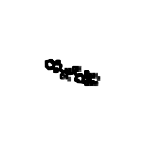 COc1ccc(C(O)CNC(C)C2COc3ccccc3O2)cc1S(N)(=O)=O